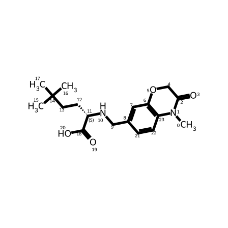 CN1C(=O)COc2cc(CN[C@@H](CCC(C)(C)C)C(=O)O)ccc21